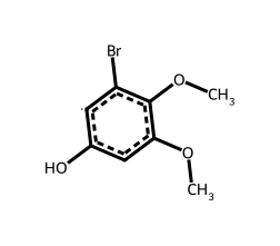 COc1cc(O)[c]c(Br)c1OC